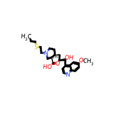 CCCSCCN1CC[C@@H](CC[C@@H](O)c2ccnc3ccc(OC)cc23)[C@@H](C(=O)O)C1